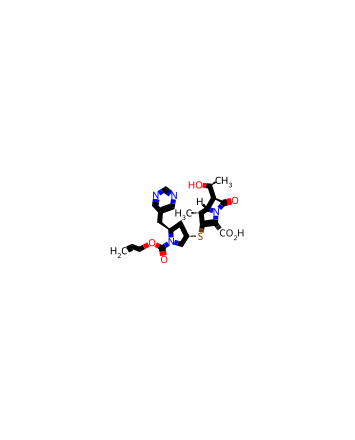 C=CCOC(=O)N1C[C@@H](SC2=C(C(=O)O)N3C(=O)[C@H]([C@@H](C)O)[C@H]3[C@H]2C)C[C@@H]1Cc1cncnc1